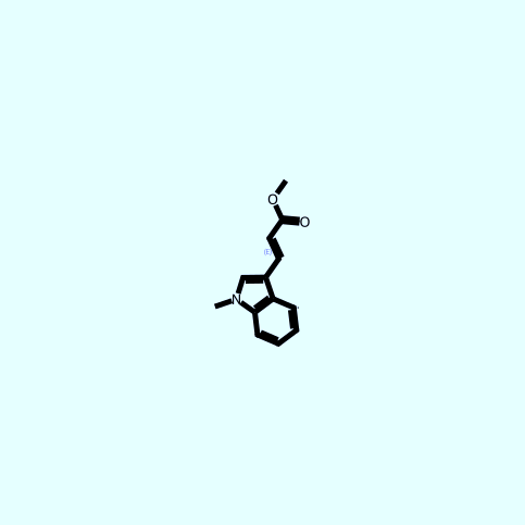 COC(=O)/C=C/c1cn(C)c2ccc[c]c12